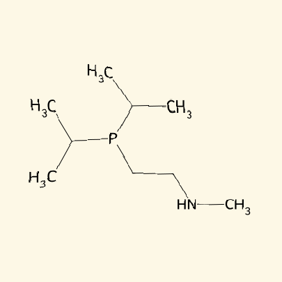 CNCCP(C(C)C)C(C)C